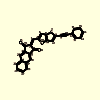 O=C1C(=Cc2cc3sc(C#Cc4ccccc4)cc3o2)C(=O)c2cc3ccccc3cc21